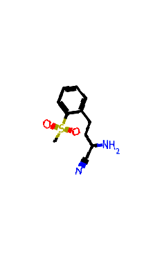 CS(=O)(=O)c1ccccc1CCC(N)C#N